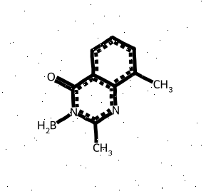 Bn1c(C)nc2c(C)cccc2c1=O